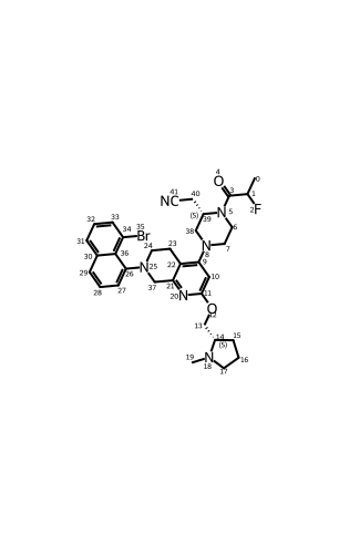 CC(F)C(=O)N1CCN(c2cc(OC[C@@H]3CCCN3C)nc3c2CCN(c2cccc4cccc(Br)c24)C3)C[C@@H]1CC#N